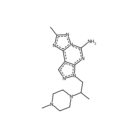 Cc1nc2c3cnn(CC(C)N4CCN(C)CC4)c3nc(N)n2n1